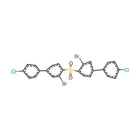 O=S(=O)(c1ccc(-c2ccc(Cl)cc2)cc1Br)c1ccc(-c2ccc(Cl)cc2)cc1Br